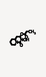 CCC(=O)OC1CC2CCCCN2C(=O)N1O